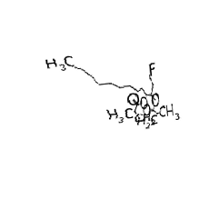 C=C(C)C(=O)OC(CCF)C(CCCCCCCCCCC)OC(=O)C(=C)C